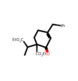 CCOC(=O)C(C)C1(C(=O)OCC)CCC(CC(C)C)=CC1=O